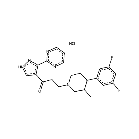 CC1CN(CCC(=O)c2c[nH]nc2-c2ncccn2)CCN1c1cc(F)cc(F)c1.Cl